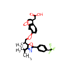 CC(C)c1nc(-c2ccc(C(F)(F)F)cc2)oc1C(C)COc1ccc2c(CC(=O)O)coc2c1